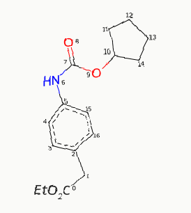 CCOC(=O)Cc1ccc(NC(=O)OC2CCCC2)cc1